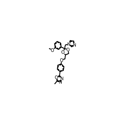 COc1cccc(C2(Cn3ccnc3)OCC(COc3ccc(-c4nnc(C)o4)cc3)O2)c1